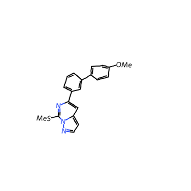 COc1ccc(-c2cccc(-c3cc4ccnn4c(SC)n3)c2)cc1